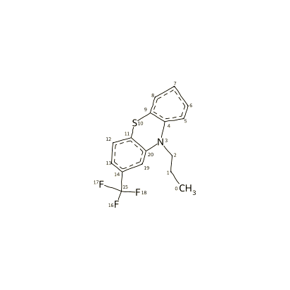 CCCN1c2ccccc2Sc2ccc(C(F)(F)F)cc21